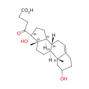 C[C@]12CC(O)CCC1=CC[C@@H]1[C@@H]2CC[C@@]2(C)[C@H]1CC[C@]2(O)C(=O)CCC(=O)O